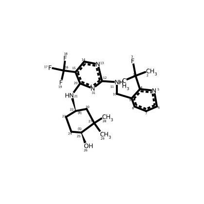 CC(C)(F)c1ncccc1CNc1ncc(C(F)(F)F)c(N[C@@H]2CC[C@H](O)C(C)(C)C2)n1